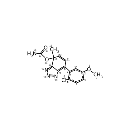 COc1ccc(Cl)c(C2=C3N=NN=C3C(C)(OC(N)=O)C=C2)c1